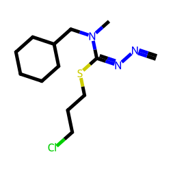 C=N/N=C(/SCCCCl)N(C)CC1CCCCC1